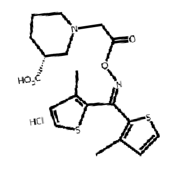 Cc1ccsc1C(=NOC(=O)CN1CCC[C@@H](C(=O)O)C1)c1sccc1C.Cl